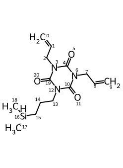 C=CCn1c(=O)n(CC=C)c(=O)n(CCC[SiH](C)C)c1=O